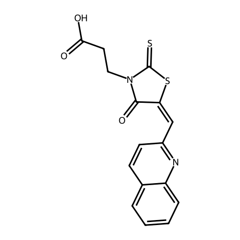 O=C(O)CCN1C(=O)/C(=C\c2ccc3ccccc3n2)SC1=S